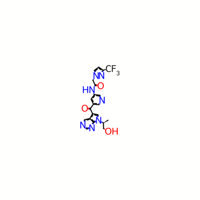 C[C@@H](CO)n1cc(C(=O)c2cncc(NC(=O)Cn3ccc(C(F)(F)F)n3)c2)c2cncnc21